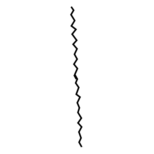 [CH2]CCCCCCCCCCCCCC=CCCCCCCCCCCCCCC